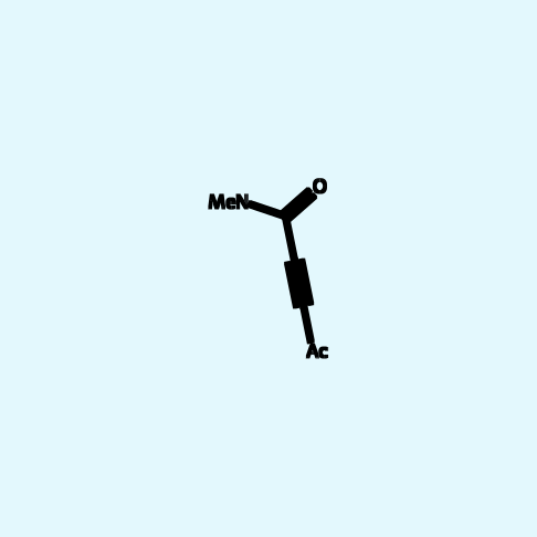 CNC(=O)C#CC(C)=O